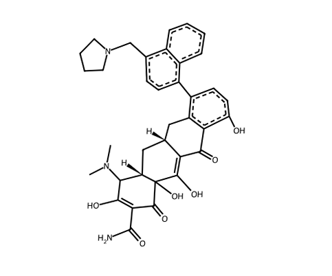 CN(C)C1C(O)=C(C(N)=O)C(=O)C2(O)C(O)=C3C(=O)c4c(O)ccc(-c5ccc(CN6CCCC6)c6ccccc56)c4C[C@H]3C[C@@H]12